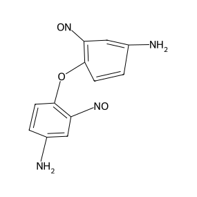 Nc1ccc(Oc2ccc(N)cc2N=O)c(N=O)c1